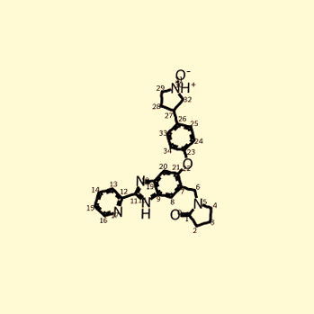 O=C1CCCN1Cc1cc2[nH]c(-c3ccccn3)nc2cc1Oc1ccc(C2CC[NH+]([O-])C2)cc1